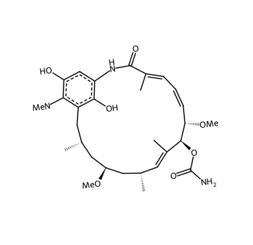 CNc1c(O)cc2c(O)c1C[C@@H](C)C[C@H](OC)C[C@@H](C)/C=C(\C)[C@H](OC(N)=O)[C@@H](OC)/C=C\C=C(/C)C(=O)N2